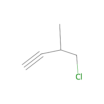 C#CC(C)CCl